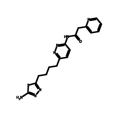 Nc1nnc(CCCCc2ccc(NC(=O)Cc3ccccn3)nn2)s1